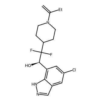 C=C(CC)N1CCC(C(F)(F)[C@H](O)c2cc(Cl)cc3cn[nH]c23)CC1